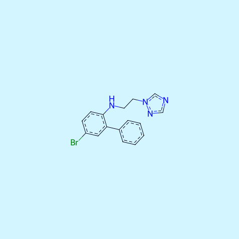 Brc1ccc(NCCn2cncn2)c(-c2ccccc2)c1